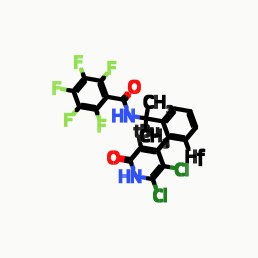 CC(C)(C)c1c(-c2[c]([Hf])cccc2C(C)(C)NC(=O)c2c(F)c(F)c(F)c(F)c2F)c(Cl)c(Cl)[nH]c1=O